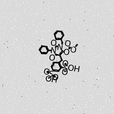 COC(=O)Oc1c(Cc2ccc(S(=O)(=O)O)cc2S(=O)(=O)O)c(=O)n(-c2ccccc2)c(=O)n1Cc1ccccc1